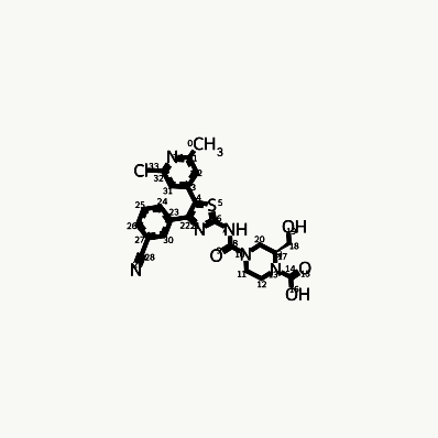 Cc1cc(-c2sc(NC(=O)N3CCN(C(=O)O)[C@H](CO)C3)nc2-c2cccc(C#N)c2)cc(Cl)n1